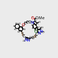 COC(=O)C1C(C)c2c3ccc(Cl)c2-c2c(nn(C)c2C)CSCc2cc(n(C)n2)CSc2cc4c(c(c2)OCCCN31)CCCC4